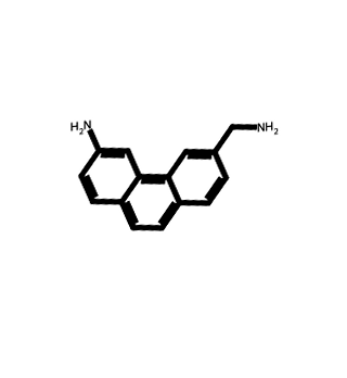 NCc1ccc2ccc3ccc(N)cc3c2c1